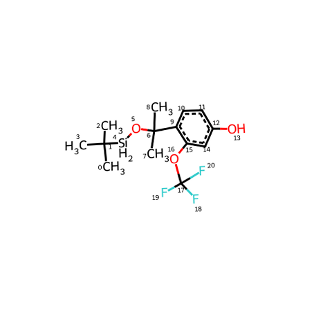 CC(C)(C)[SiH2]OC(C)(C)c1ccc(O)cc1OC(F)(F)F